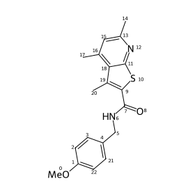 COc1ccc(CNC(=O)c2sc3nc(C)cc(C)c3c2C)cc1